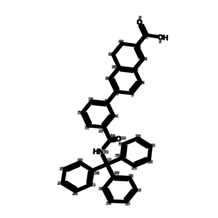 O=C(O)C1=Cc2ccc(-c3cccc(C(=O)NC(c4ccccc4)(c4ccccc4)c4ccccc4)c3)cc2CC1